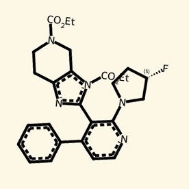 CCOC(=O)N1CCc2nc(-c3c(-c4ccccc4)ccnc3N3CC[C@H](F)C3)n(C(=O)OCC)c2C1